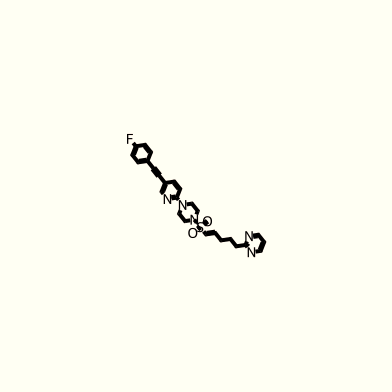 O=S(=O)(C=CCCCc1ncccn1)N1CCN(c2ccc(C#Cc3ccc(F)cc3)cn2)CC1